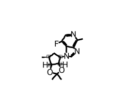 Cc1ncc(F)c2c1ncn2[C@@H]1C[C@H](C)[C@H]2OC(C)(C)O[C@H]21